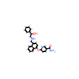 NC(=O)c1ccc(Oc2ccc(CNCC(O)c3ccccc3)c3ccccc23)nc1